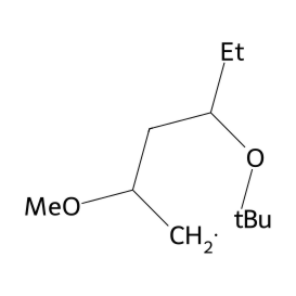 [CH2]C(CC(CC)OC(C)(C)C)OC